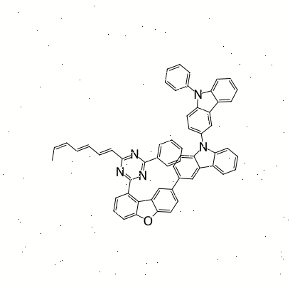 C\C=C/C=C/C=C/c1nc(-c2ccccc2)nc(-c2cccc3oc4ccc(-c5ccc6c(c5)c5ccccc5n6-c5ccc6c(c5)c5ccccc5n6-c5ccccc5)cc4c23)n1